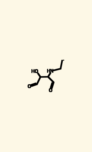 [CH2]CNC(C=O)C(O)C=O